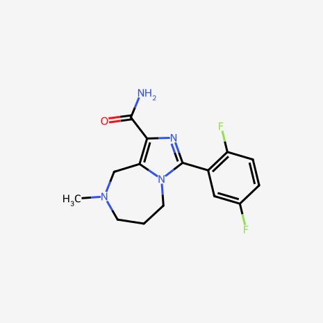 CN1CCCn2c(-c3cc(F)ccc3F)nc(C(N)=O)c2C1